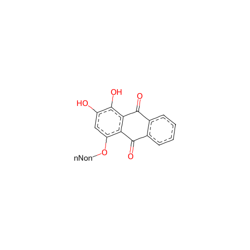 CCCCCCCCCOc1cc(O)c(O)c2c1C(=O)c1ccccc1C2=O